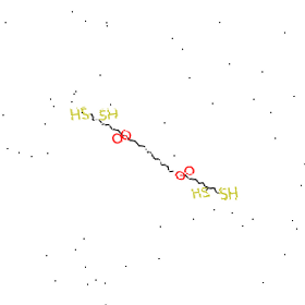 O=C(CCCCC(S)CCS)OCCCCCCCCCCCCOC(=O)CCCCC(S)CCS